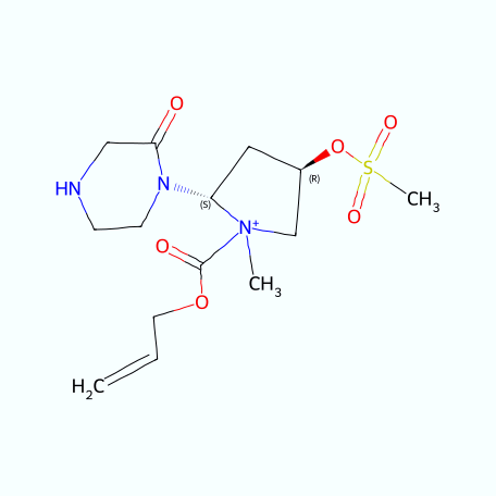 C=CCOC(=O)[N+]1(C)C[C@H](OS(C)(=O)=O)C[C@H]1N1CCNCC1=O